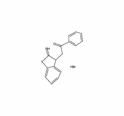 Br.N=C1Sc2ccccc2C1CC(=O)c1ccccc1